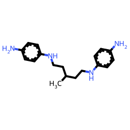 CC(CCNc1ccc(N)cc1)CCNc1ccc(N)cc1